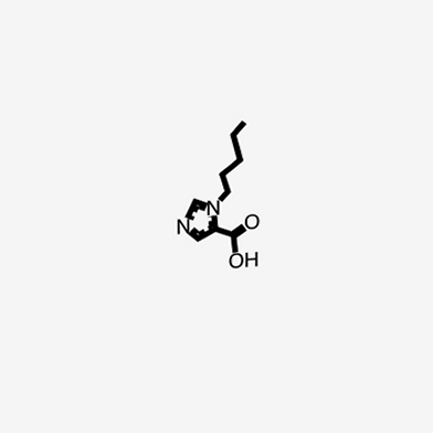 CCCCCn1cncc1C(=O)O